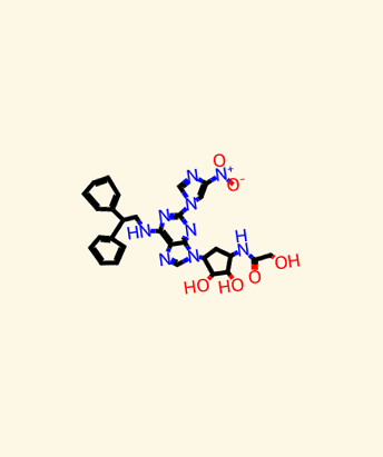 O=C(CO)NC1CC(n2cnc3c(NCC(c4ccccc4)c4ccccc4)nc(-n4cnc([N+](=O)[O-])c4)nc32)C(O)C1O